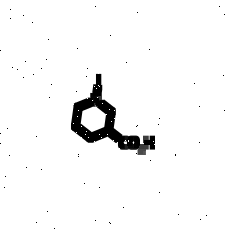 O=C(O)C1CCCN(I)C1